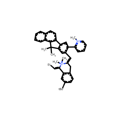 CC/C=C1/c2cc(C(C)(C)C)ccc2C/C(=C/c2cc3c(cc2-c2cccc[n+]2C)-c2ccc4ccccc4c2C3(C)C)[N+]1(C)C